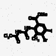 COC(=O)c1cc(I)c(Br)c(C)c1NC(=O)NC(=O)C(Cl)(Cl)Cl